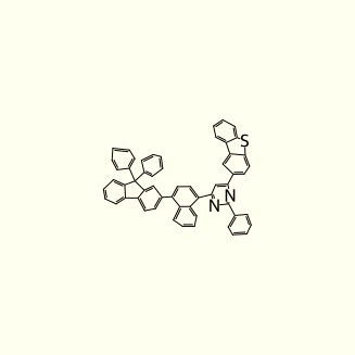 c1ccc(-c2nc(-c3ccc4sc5ccccc5c4c3)cc(-c3ccc(-c4ccc5c(c4)C(c4ccccc4)(c4ccccc4)c4ccccc4-5)c4ccccc34)n2)cc1